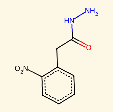 NNC(=O)Cc1ccccc1[N+](=O)[O-]